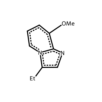 CCc1cnc2c(OC)cccn12